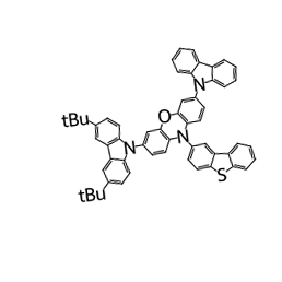 CC(C)(C)c1ccc2c(c1)c1cc(C(C)(C)C)ccc1n2-c1ccc2c(c1)Oc1cc(-n3c4ccccc4c4ccccc43)ccc1N2c1ccc2sc3ccccc3c2c1